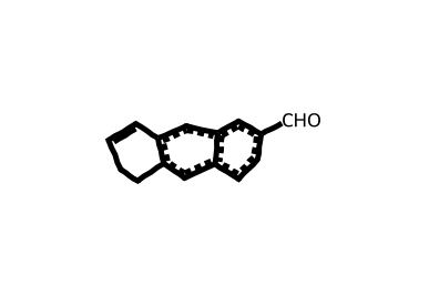 O=Cc1ccc2cc3c(cc2c1)C=CCC3